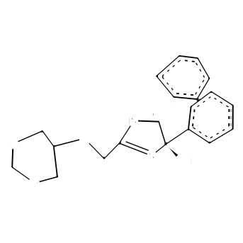 C[C@@]1(c2ccccc2)N=C(COC2COCOC2)N[C@@H]1c1ccccc1